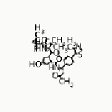 CC(=O)C[C@H](NC(=O)[C@@H]1C[C@@H](O)CC1C(=O)[C@@H](NC(=O)C1(F)CC1C)C(C)(C)C)c1ccc(-c2scnc2C)cc1